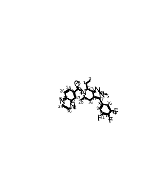 CCC1c2nn(C)c(-c3cc(F)c(F)c(F)c3)c2CC(C)N1C(=O)c1ccc2nccnc2c1